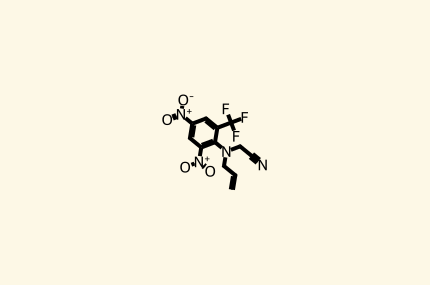 C=CCN(CC#N)c1c([N+](=O)[O-])cc([N+](=O)[O-])cc1C(F)(F)F